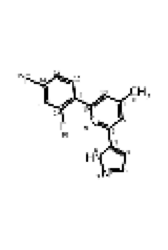 Cc1cc(-c2ccn[nH]2)nc(-c2ccc(F)cc2F)c1